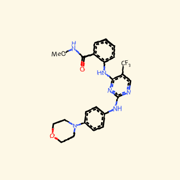 CONC(=O)c1ccccc1Nc1nc(Nc2ccc(N3CCOCC3)cc2)ncc1C(F)(F)F